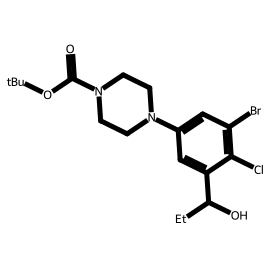 CCC(O)c1cc(N2CCN(C(=O)OC(C)(C)C)CC2)cc(Br)c1Cl